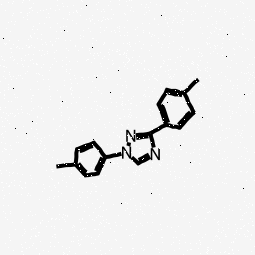 Cc1ccc(-c2ncn(-c3ccc(C)cc3)n2)cc1